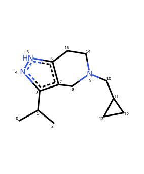 CC(C)c1n[nH]c2c1CN(CC1CC1)CC2